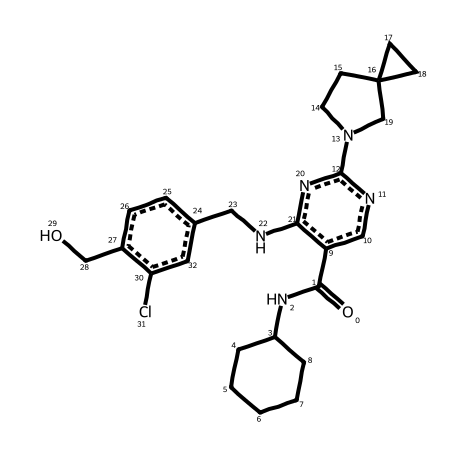 O=C(NC1CCCCC1)c1cnc(N2CCC3(CC3)C2)nc1NCc1ccc(CO)c(Cl)c1